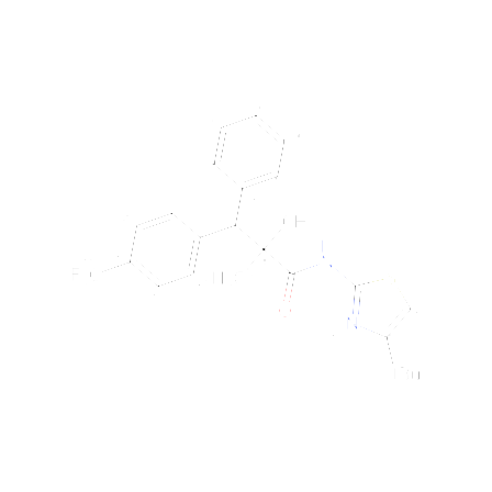 CC(C)(C)c1csc(NC(=O)C(C)(C)C(c2ccccc2)c2ccc(C(F)(F)F)cc2)n1